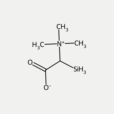 C[N+](C)(C)C([SiH3])C(=O)[O-]